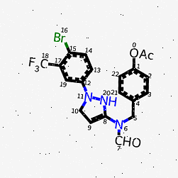 CC(=O)Oc1ccc(CN(C=O)C2=CCN(c3ccc(Br)c(C(F)(F)F)c3)N2)cc1